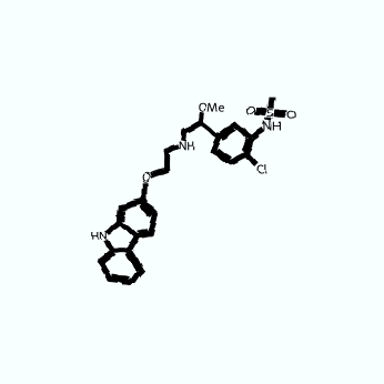 COC(CNCCOc1ccc2c(c1)[nH]c1ccccc12)c1ccc(Cl)c(NS(C)(=O)=O)c1